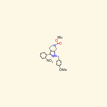 COc1ccc(Cn2nc(-c3ccccc3[N+](=O)[O-])c3c2CN(C(=O)OC(C)(C)C)CC3)cc1